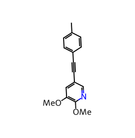 COc1cc(C#Cc2ccc(C)cc2)cnc1OC